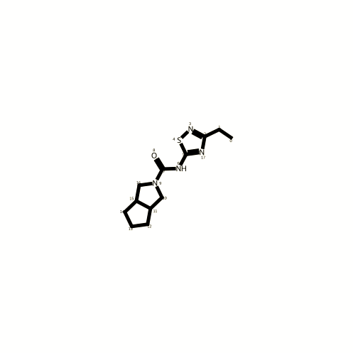 CCc1nsc(NC(=O)N2CC3CCCC3C2)n1